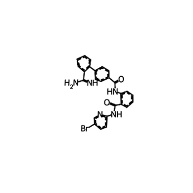 N=C(N)c1ccccc1-c1ccc(C(=O)Nc2ccccc2C(=O)Nc2ccc(Br)cn2)cc1